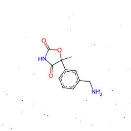 CC1(c2cccc(CN)c2)OC(=O)NC1=O